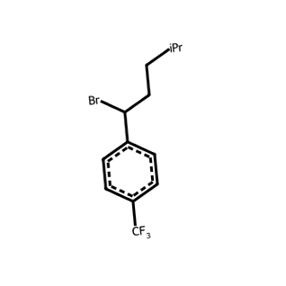 CC(C)CCC(Br)c1ccc(C(F)(F)F)cc1